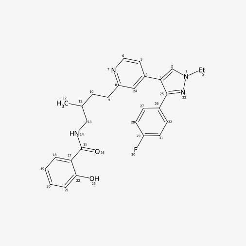 CCn1cc(-c2ccnc(CCC(C)CNC(=O)c3ccccc3O)c2)c(-c2ccc(F)cc2)n1